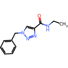 CCNC(=O)c1cn(Cc2ccccc2)nn1